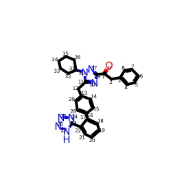 O=C(Cc1ccccc1)c1nc(Cc2ccc(-c3ccccc3-c3nnn[nH]3)cc2)n(C2CCCCC2)n1